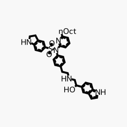 CCCCCCCCc1cccc(N(c2ccc(CCNCC(O)c3ccc4[nH]ccc4c3)cc2)S(=O)(=O)c2ccc3c(c2)CCN3)n1